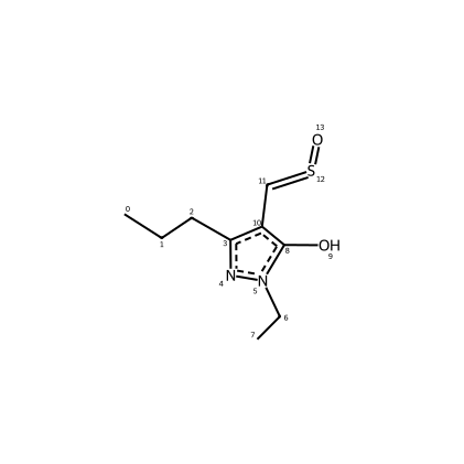 CCCc1nn(CC)c(O)c1C=S=O